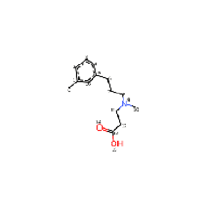 Cc1cccc(CCCN(C)CCC(=O)O)c1